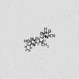 Cc1cc(-n2nc(C#N)c(=O)[nH]c2=O)cc(C)c1Cc1ccc(O)c(C2CCCCC2)n1